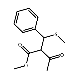 COC(=O)C(C(C)=O)C(SC)c1ccccc1